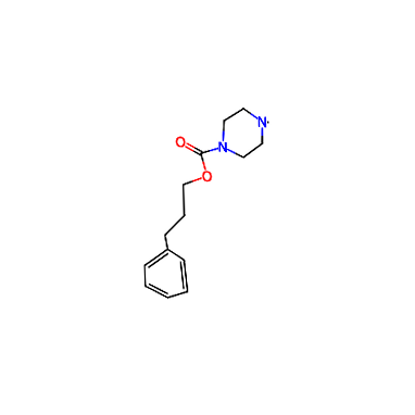 O=C(OCCCc1ccccc1)N1CC[N]CC1